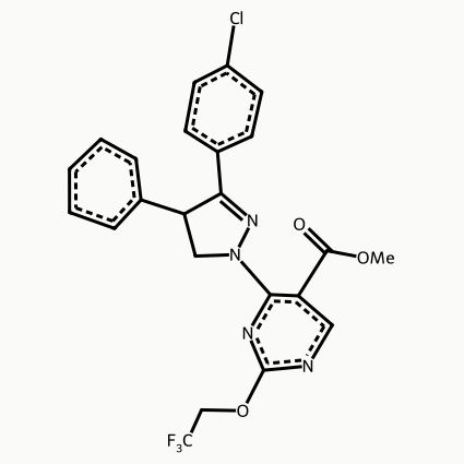 COC(=O)c1cnc(OCC(F)(F)F)nc1N1CC(c2ccccc2)C(c2ccc(Cl)cc2)=N1